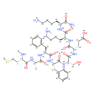 CN[C@@H](CCSC)C(=O)N[C@@H](C)C(=O)N[C@@H](Cc1ccccc1)C(=O)N[C@@H](Cc1ccccc1)C(=O)N[C@@H](CO)C(=O)N[C@@H](CCC(=O)O)C(=O)N[C@@H](CCCCN)C(=O)N[C@@H](CCCCN)C(N)=O